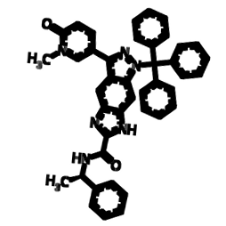 C[C@@H](NC(=O)c1nc2cc3c(-c4ccc(=O)n(C)c4)nn(C(c4ccccc4)(c4ccccc4)c4ccccc4)c3cc2[nH]1)c1ccccc1